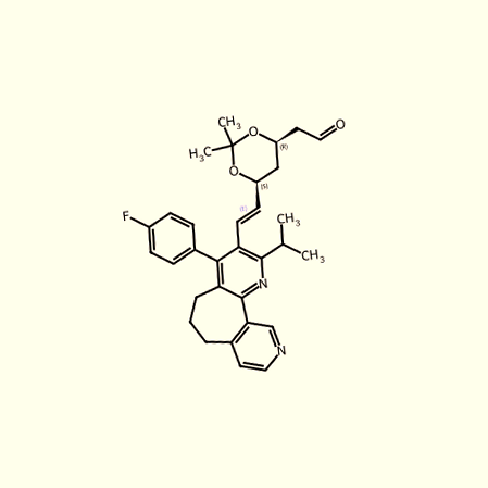 CC(C)c1nc2c(c(-c3ccc(F)cc3)c1/C=C/[C@@H]1C[C@H](CC=O)OC(C)(C)O1)CCCc1ccncc1-2